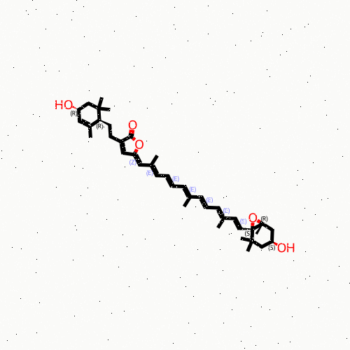 CC1=C[C@H](O)CC(C)(C)[C@H]1CCC1=C/C(=C/C(C)=C/C=C/C=C(C)/C=C/C=C(C)/C=C/[C@@]23O[C@]2(C)C[C@@H](O)CC3(C)C)OC1=O